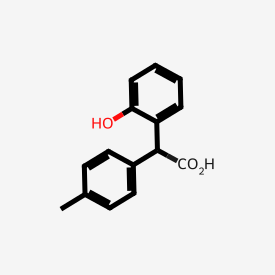 Cc1ccc(C(C(=O)O)c2ccccc2O)cc1